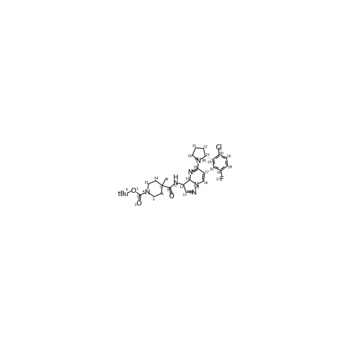 CC(C)(C)OC(=O)N1CCC(C)(C(=O)NC2C=NN3C=CC(N4CCC[C@@H]4c4cc(F)ccc4Cl)=NC23)CC1